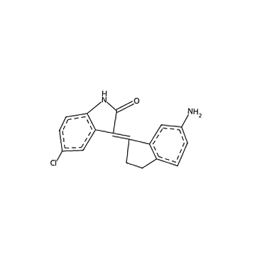 Nc1ccc2c(c1)/C(=C1\C(=O)Nc3ccc(Cl)cc31)CC2